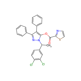 CC(c1ccc(Cl)c(Cl)c1)n1nc(-c2ccccc2)c(-c2ccccc2)c1OC(=O)c1nccs1